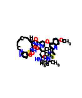 CNC(=O)C[C@H](C(=O)N1C[C@H](Oc2cc(-c3csc(NC(C)C)n3)nc3cc(OC)ccc23)C[C@H]1C(=O)N[C@]12C[C@H]1CCCCCCCNc1ccccc1S(=O)(=O)NC2=O)C(C)C